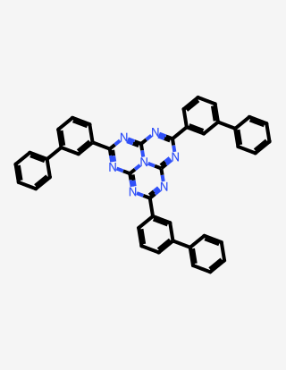 c1ccc(-c2cccc(C3=NC4=NC(c5cccc(-c6ccccc6)c5)=NC5=NC(c6cccc(-c7ccccc7)c6)=NC(=N3)N45)c2)cc1